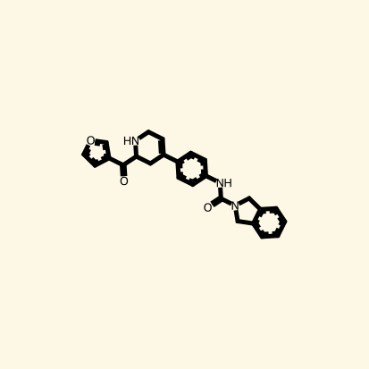 O=C(c1ccoc1)C1CC(c2ccc(NC(=O)N3Cc4ccccc4C3)cc2)=CCN1